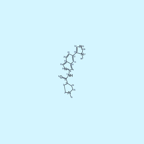 CN1CCC(C(=O)Nc2cc3cc(-c4cncn4C)ccc3cn2)CC1